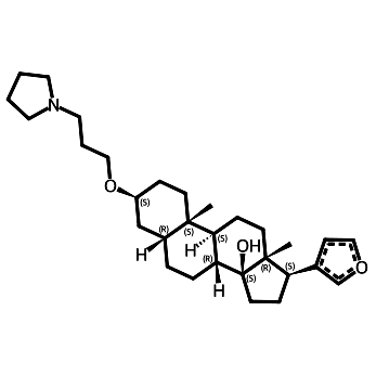 C[C@]12CC[C@H](OCCCN3CCCC3)C[C@H]1CC[C@@H]1[C@@H]2CC[C@]2(C)[C@@H](c3ccoc3)CC[C@]12O